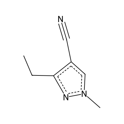 CCc1nn(C)cc1C#N